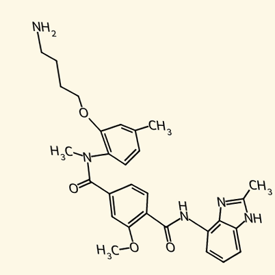 COc1cc(C(=O)N(C)c2ccc(C)cc2OCCCCN)ccc1C(=O)Nc1cccc2[nH]c(C)nc12